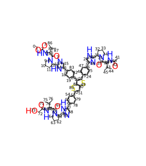 COC(=O)N[C@H](C(=O)N1CCCC1c1ncc(-c2ccc(-c3c(-c4ccc(-c5c[nH]c(C6CCCN6C(=O)[C@@H](NC(C)=O)C(C)C)n5)cc4)sc4cc(-c5ccc(-c6cnc([C@@H]7CCCN7C(=O)[C@@H](NC(=O)CO)C(C)C)[nH]6)cc5)sc34)cc2)[nH]1)C(C)C